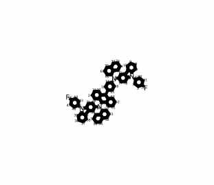 Fc1ccc(-n2c3ccccc3c3cc(N(c4ccc(-c5c6ccccc6c(N(c6ccc7c(c6)c6ccccc6n7-c6ccc(F)cc6)c6cccc7ccccc67)c6ccccc56)cc4)c4cccc5ccccc45)ccc32)cc1